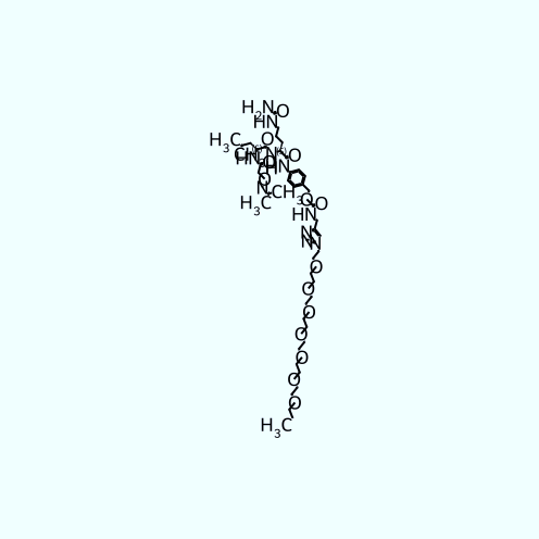 CCCOCCOCCOCCOCCOCCOCCOCCn1cc(CNC(=O)OCc2ccc(NC(=O)[C@H](CCCNC(N)=O)NC(=O)[C@H](CC(C)C)NC(=O)CON=C(C)C)cc2)nn1